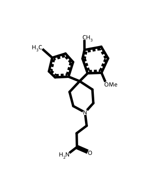 COc1ccc(C)cc1C1(c2ccc(C)cc2)CCN(CCC(N)=O)CC1